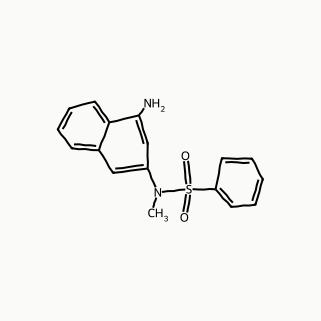 CN(c1cc(N)c2ccccc2c1)S(=O)(=O)c1ccccc1